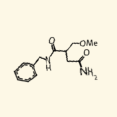 COCC(CC(N)=O)C(=O)NCc1ccccc1